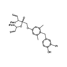 CCCC(C)C(C=S)OP(=O)(COc1cc(C)c(Cc2ccc(O)c(C(C)C)c2)c(C)c1)C(C=S)C(C)CCC